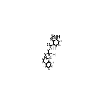 O=C(NCC(O)CN1CCc2ccccc2C1)c1cccc2[nH]cnc12